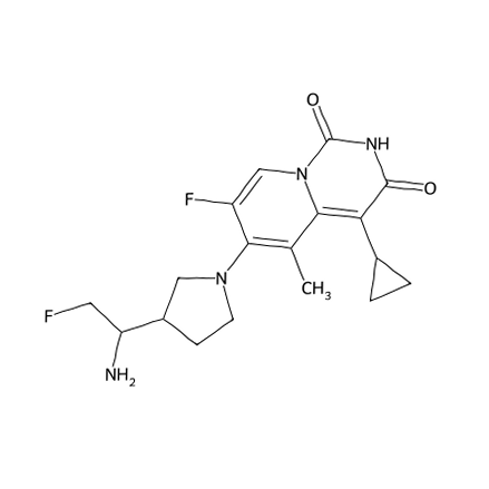 Cc1c(N2CCC(C(N)CF)C2)c(F)cn2c(=O)[nH]c(=O)c(C3CC3)c12